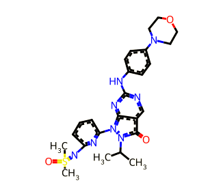 CC(C)n1c(=O)c2cnc(Nc3ccc(N4CCOCC4)cc3)nc2n1-c1cccc(N=S(C)(C)=O)n1